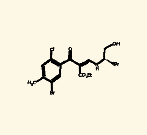 CCOC(=O)/C(=C\N[C@H](CO)C(C)C)C(=O)c1cc(Br)c(C)cc1Cl